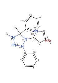 Br.CN1NN(c2ccccc2)N(c2ccc[nH]2)C1(C)c1ccccc1